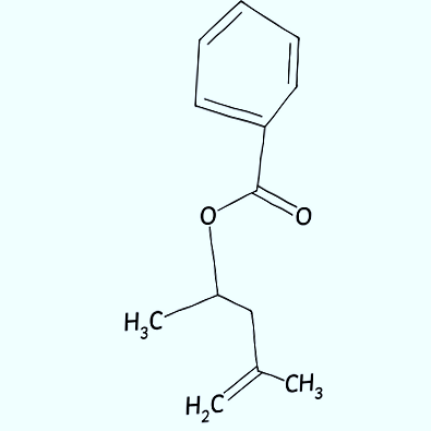 C=C(C)CC(C)OC(=O)c1ccccc1